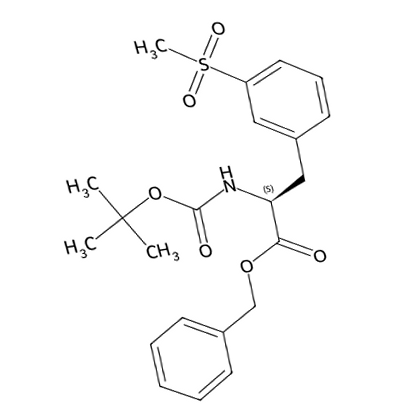 CC(C)(C)OC(=O)N[C@@H](Cc1cccc(S(C)(=O)=O)c1)C(=O)OCc1ccccc1